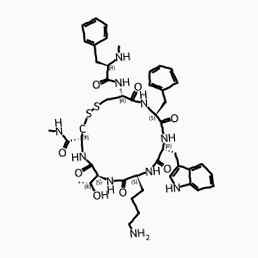 CNC(=O)[C@@H]1CSSC[C@H](NC(=O)[C@@H](Cc2ccccc2)NC)C(=O)N[C@@H](Cc2ccccc2)C(=O)N[C@H](Cc2c[nH]c3ccccc23)C(=O)N[C@@H](CCCCN)C(=O)N[C@@H]([C@@H](C)O)C(=O)N1